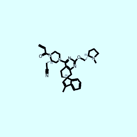 C=CC(=O)N1CCN(c2nc(OC[C@@H]3CCCN3C)nc3c2CC[C@@]2(C=C(C)c4ccccc42)C3)C[C@@H]1CC#N